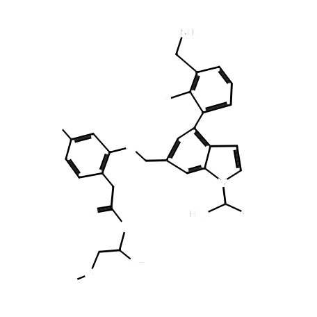 COCC(C)OC(=O)Cc1ccc(F)cc1OCc1cc(-c2cccc(CN)c2F)c2ccn(C(C)C)c2c1